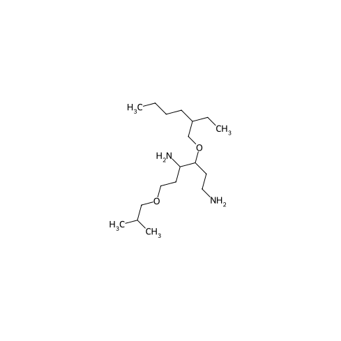 CCCCC(CC)COC(CCN)C(N)CCOCC(C)C